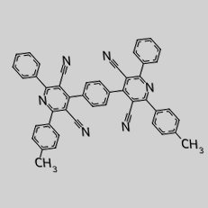 Cc1ccc(-c2nc(-c3ccccc3)c(C#N)c(-c3ccc(-c4c(C#N)c(-c5ccccc5)nc(-c5ccc(C)cc5)c4C#N)cc3)c2C#N)cc1